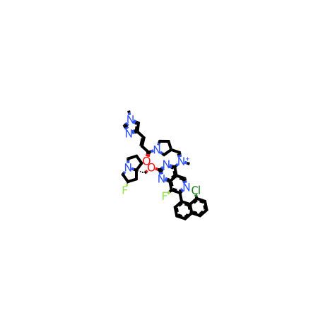 Cn1cnc(/C=C/C(=O)N2CCC(/C=[N+](/C)c3nc(OC[C@@]45CCCN4C[C@H](F)C5)nc4c(F)c(-c5cccc6cccc(Cl)c56)ncc34)C2)c1